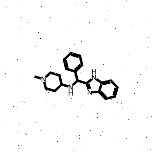 CN1CCC(NC(c2ccccc2)c2nc3ccccc3[nH]2)CC1